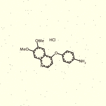 COc1cc2nccc(Oc3ccc(N)cc3)c2cc1OC.Cl